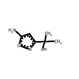 CCCC(C)(C)c1cc(N)on1